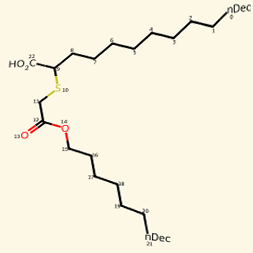 CCCCCCCCCCCCCCCCCCC(SCC(=O)OCCCCCCCCCCCCCCCC)C(=O)O